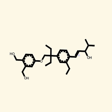 CCc1cc(C(CC)(CC)COc2ccc(CO)c(CO)c2)ccc1/C=C/C(O)C(C)C